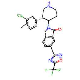 Cc1ccc([C@@H]2CNCCC2N2Cc3ccc(-c4noc(C(F)(F)F)n4)cc3C2=O)cc1Cl